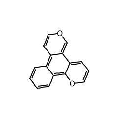 C1=COc2c(c3c(c4ccccc24)C=COC=3)=C1